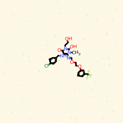 CN1C(/N=C/OCCOc2cccc(C(F)(F)F)c2)=C(NCc2ccc(Cl)cc2)C(=O)N(CCO)C1O